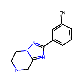 N#Cc1cccc(-c2nc3n(n2)CCNC3)c1